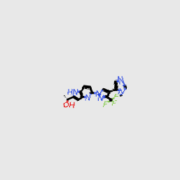 C[C@@H](O)c1cc2nc(-n3cc(-c4cncn4C)c(C(F)(F)F)n3)ccc2[nH]1